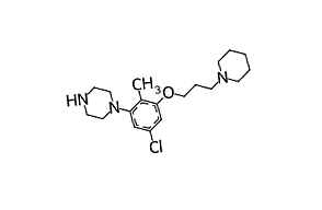 Cc1c(OCCCN2CCCCC2)cc(Cl)cc1N1CCNCC1